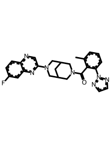 Cc1cccc(-n2nccn2)c1C(=O)N1CC2CC(C1)CN(c1cnc3ccc(F)cc3n1)C2